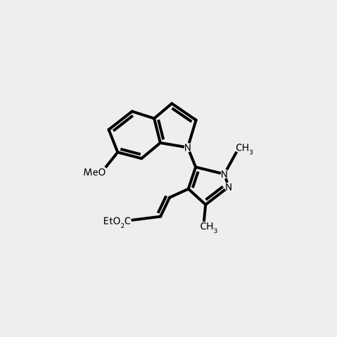 CCOC(=O)/C=C/c1c(C)nn(C)c1-n1ccc2ccc(OC)cc21